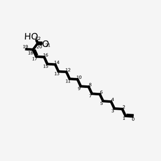 C=CCCCCCCCCCCCCCCCC=C(C)C(=O)O